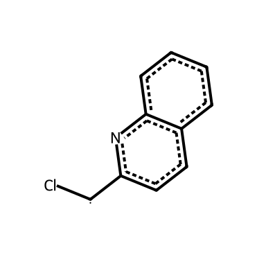 Cl[CH]c1ccc2ccccc2n1